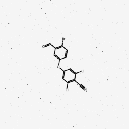 N#Cc1c(Cl)cc(Oc2ccc(Br)c(C=O)c2)cc1Cl